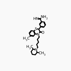 Cc1ccc2c(c1)N(CCCCCN1C(C)CCCC1C)C(=O)C(c1cccc(C(=N)N)c1)S2